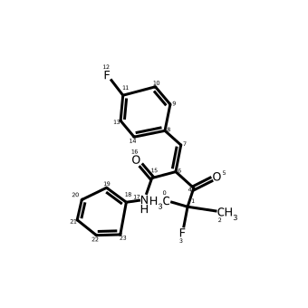 CC(C)(F)C(=O)C(=Cc1ccc(F)cc1)C(=O)Nc1ccccc1